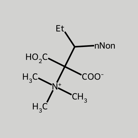 CCCCCCCCCC(CC)C(C(=O)[O-])(C(=O)O)[N+](C)(C)C